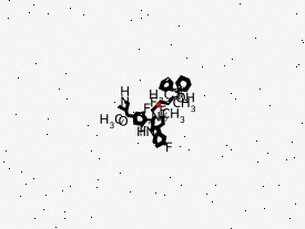 COC(c1cc(F)c([C@@H]2c3[nH]c4ccc(F)cc4c3C[C@@H](C)N2CC(F)(F)CCC(C)(C)[Si](O)(c2ccccc2)c2ccccc2)c(F)c1)C1CNC1